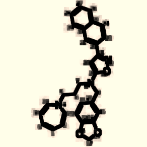 C1=CC=CN(CCCN(Cc2ccc3c(c2)OCO3)c2cc(-c3ccc4ccccc4c3)no2)C=C1